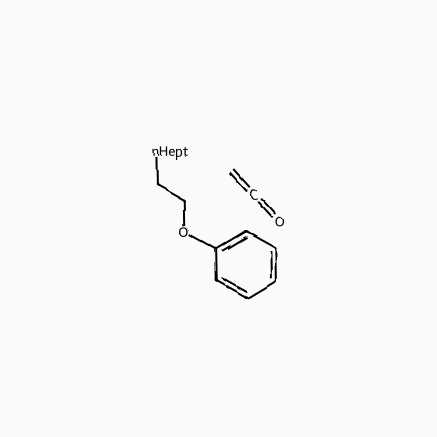 C=C=O.CCCCCCCCCOc1ccccc1